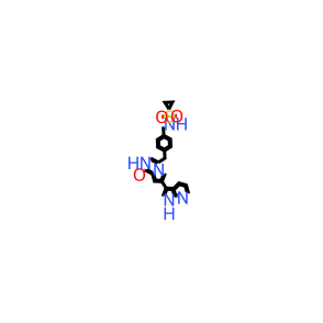 O=c1[nH]cc(Cc2ccc(CNS(=O)(=O)C3CC3)cc2)n2cc(-c3c[nH]c4ncccc34)cc12